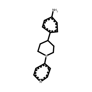 Nc1ccc(C2CCN(c3ccncc3)CC2)cc1